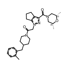 Cc1ccccc1CC1CCN(C(=O)Cn2nc(C(=O)N3C[C@@H](C)O[C@@H](C)C3)c3c2CCC3)CC1